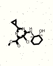 COC(=O)c1nc(C2CC2)nc(N[C@@H]2CCCC[C@H]2O)c1Cl